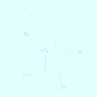 CC(C)CC(NC(Cc1cscn1)C(=O)O)C(=O)O